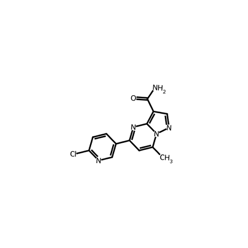 Cc1cc(-c2ccc(Cl)nc2)nc2c(C(N)=O)cnn12